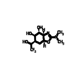 CN(C)C1=N[C@@H]2[C@@H](O)[C@H](O)[C@H](C(O)C(F)(F)F)C[C@@H]2O1